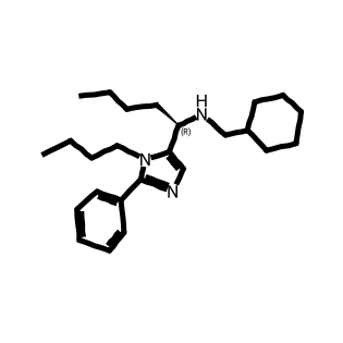 CCCC[C@@H](NCC1CCCCC1)c1cnc(-c2ccccc2)n1CCCC